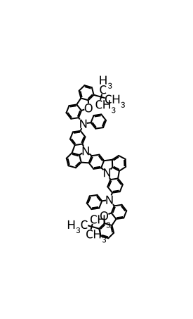 CC(C)(C)c1cccc2c1oc1c(N(c3ccccc3)c3ccc4c5cccc6c7cc8c(cc7n(c4c3)c56)c3cccc4c5ccc(N(c6ccccc6)c6cccc7c6oc6c(C(C)(C)C)cccc67)cc5n8c43)cccc12